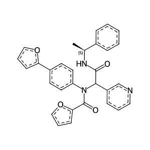 C[C@H](NC(=O)C(c1cccnc1)N(C(=O)c1ccco1)c1ccc(-c2ccco2)cc1)c1ccccc1